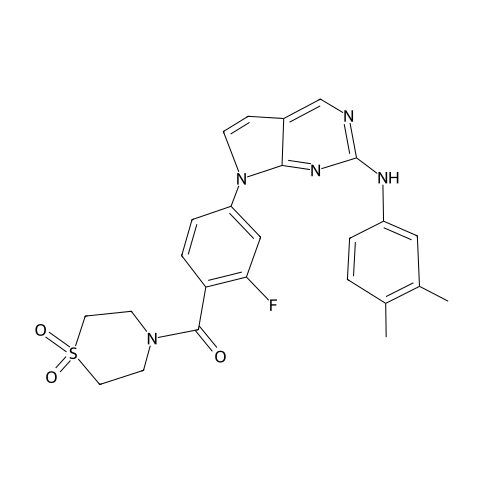 Cc1ccc(Nc2ncc3ccn(-c4ccc(C(=O)N5CCS(=O)(=O)CC5)c(F)c4)c3n2)cc1C